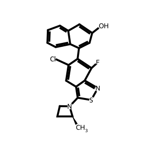 C[C@H]1CCN1c1snc2c(F)c(-c3cc(O)cc4ccccc34)c(Cl)cc12